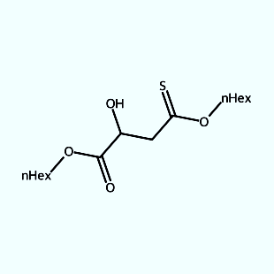 CCCCCCOC(=O)C(O)CC(=S)OCCCCCC